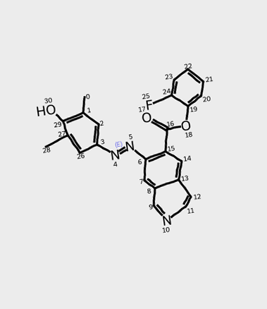 Cc1cc(/N=N/c2cc3cnccc3cc2C(=O)Oc2ccccc2F)cc(C)c1O